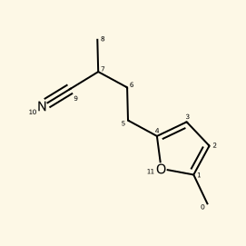 Cc1ccc(CCC(C)C#N)o1